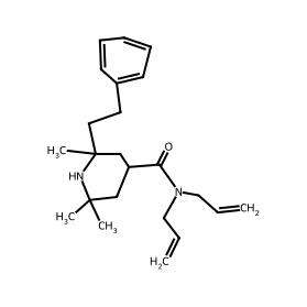 C=CCN(CC=C)C(=O)C1CC(C)(C)NC(C)(CCc2ccccc2)C1